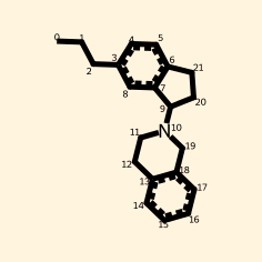 CCCc1ccc2c(c1)C(N1CCc3ccccc3C1)CC2